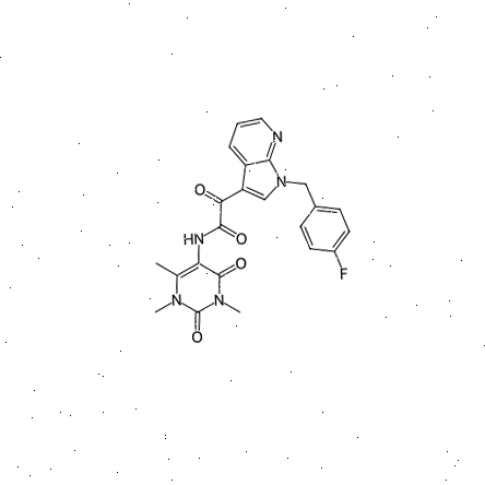 Cc1c(NC(=O)C(=O)c2cn(Cc3ccc(F)cc3)c3ncccc23)c(=O)n(C)c(=O)n1C